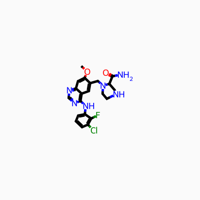 COc1cc2ncnc(Nc3cccc(Cl)c3F)c2cc1CN1CCNCC1C(N)=O